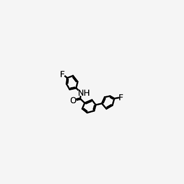 O=C(Nc1ccc(F)cc1)c1cccc(-c2ccc(F)cc2)c1